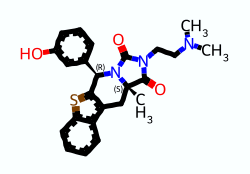 CN(C)CCN1C(=O)N2[C@H](c3cccc(O)c3)c3sc4ccccc4c3C[C@@]2(C)C1=O